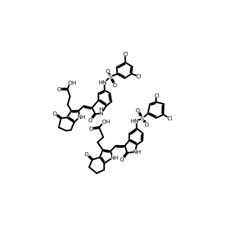 O=C(O)CCc1c(C=C2C(=O)Nc3ccc(NS(=O)(=O)c4cc(Cl)cc(Cl)c4)cc32)[nH]c2c1C(=O)CCC2.O=C(O)CCc1c(C=C2C(=O)Nc3ccc(NS(=O)(=O)c4cc(Cl)cc(Cl)c4)cc32)[nH]c2c1C(=O)CCC2